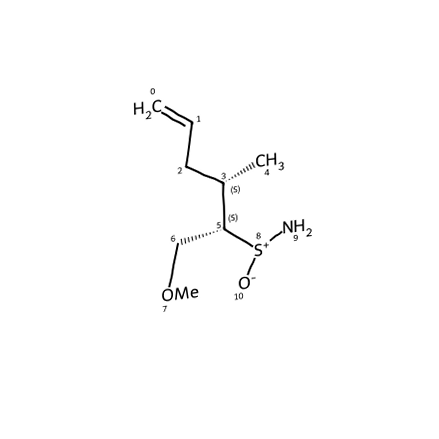 C=CC[C@H](C)[C@@H](COC)[S+](N)[O-]